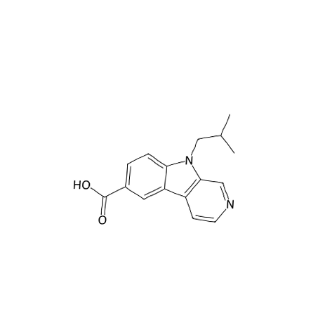 CC(C)Cn1c2ccc(C(=O)O)cc2c2ccncc21